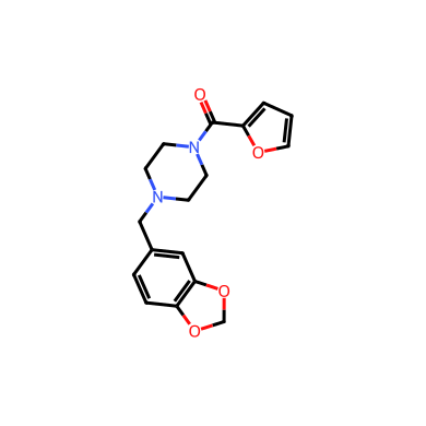 O=C(c1ccco1)N1CCN(Cc2ccc3c(c2)OCO3)CC1